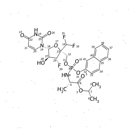 CC(C)OC(=O)[C@H](C)NP(=O)(OC[C@@]1(C(F)F)O[C@@H](n2ccc(=O)[nH]c2=O)[C@H](O)[C@H]1F)Oc1ccc2ccccc2c1